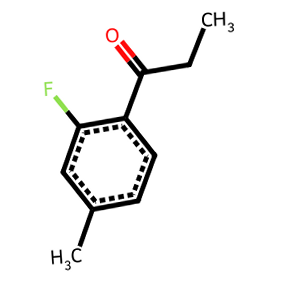 CCC(=O)c1ccc(C)cc1F